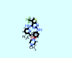 CN1CCN(c2ccc(Nc3nc(Nc4cccc(C(C)(C)O)n4)c4c(C(F)(F)F)csc4n3)cc2)CC1